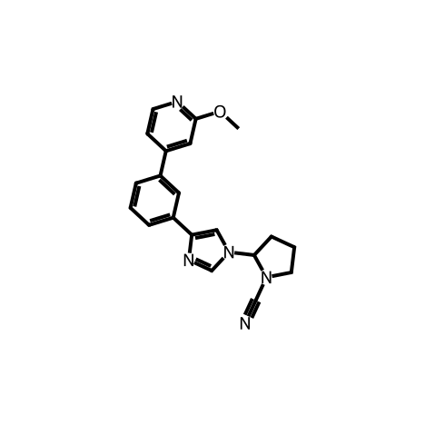 COc1cc(-c2cccc(-c3cn(C4CCCN4C#N)cn3)c2)ccn1